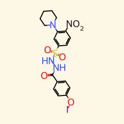 O=C(NNS(=O)(=O)c1ccc([N+](=O)[O-])c(N2CCCCC2)c1)c1ccc(OI)cc1